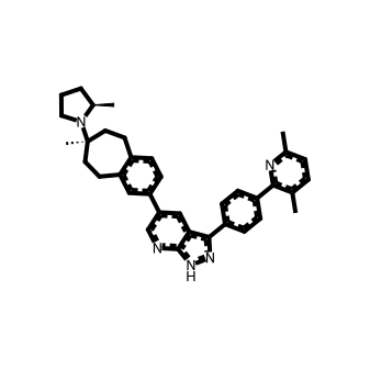 Cc1ccc(C)c(-c2ccc(-c3n[nH]c4ncc(-c5ccc6c(c5)CC[C@@](C)(N5CCC[C@H]5C)CC6)cc34)cc2)n1